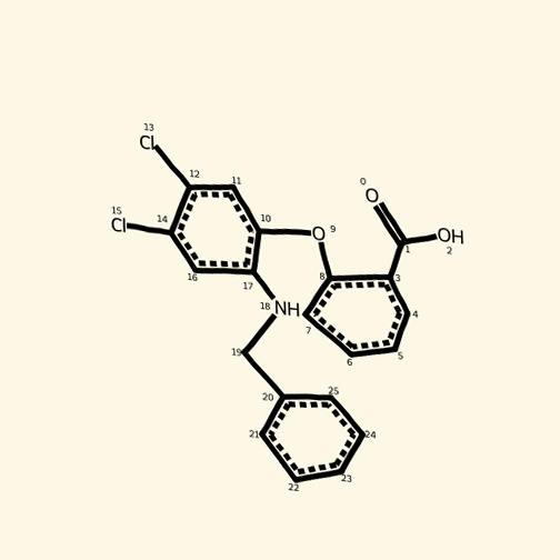 O=C(O)c1ccccc1Oc1cc(Cl)c(Cl)cc1NCc1ccccc1